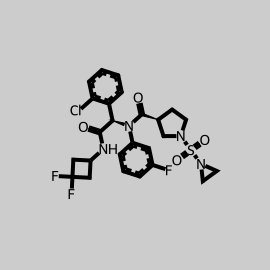 O=C(NC1CC(F)(F)C1)[C@@H](c1ccccc1Cl)N(C(=O)[C@H]1CCN(S(=O)(=O)N2CC2)C1)c1cccc(F)c1